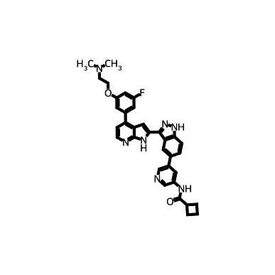 CN(C)CCOc1cc(F)cc(-c2ccnc3[nH]c(-c4n[nH]c5ccc(-c6cncc(NC(=O)C7CCC7)c6)cc45)cc23)c1